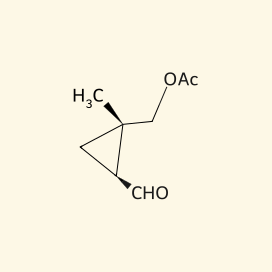 CC(=O)OC[C@@]1(C)C[C@@H]1C=O